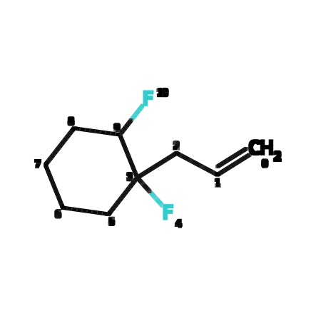 C=CCC1(F)CCCCC1F